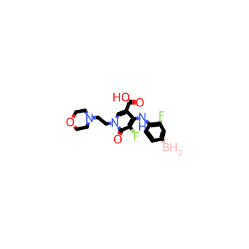 Bc1ccc(Nc2c(C(=O)O)cn(CCN3CCOCC3)c(=O)c2F)c(F)c1